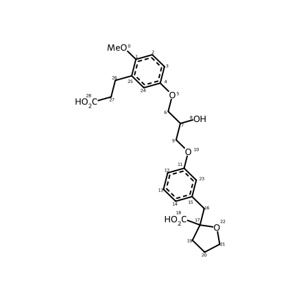 COc1ccc(OCC(O)COc2cccc(CC3(C(=O)O)CCCO3)c2)cc1CCC(=O)O